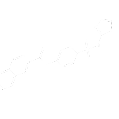 O=C(Nc1ccc(S(=O)(=O)Nc2nccs2)cc1)c1cnc2ccccc2n1